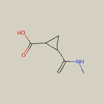 C=C(NC)C1CC1C(=O)O